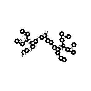 O=c1ccc2ccc(Oc3ccc4c5ccc(Oc6ccc7c(-c8ccc9cc(-c%10ccc%11c%12ccc(-c%13ccc%14ccccc%14c%13)cc%12c%12nc%13c(-c%14ccc%15c%16ccccc%16n(-c%16ccccc%16)c%15c%14)sc(-c%14ccc%15c%16ccccc%16n(-c%16ccccc%16)c%15c%14)c%13nc%12c%11c%10)ccc9c8)cc(=O)oc7c6)cc5c5nc6c(-c7cccc8c7sc7ccccc78)sc(-c7cccc8c7sc7ccccc78)c6nc5c4c3)cc2o1